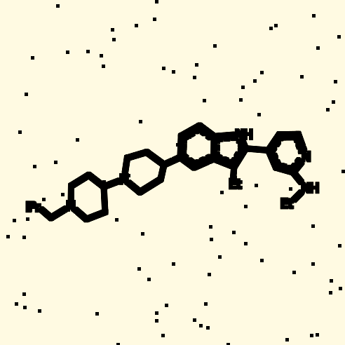 CCNc1cc(-c2[nH]c3ccc(C4CCN(C5CCN(CC(C)C)CC5)CC4)cc3c2CC)ccn1